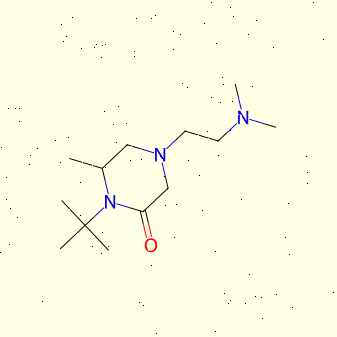 CC1CN(CCN(C)C)CC(=O)N1C(C)(C)C